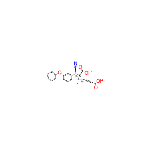 CC1(C)[C@H](C#CC(=O)O)[C@@]1(C(=O)O)[C@H](C#N)c1cccc(Oc2ccccc2)c1